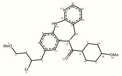 CCC(CCOC)Cc1ccc2c(c1)N(C(=O)C1CCC(OC)CC1)Cc1cccnc1N2